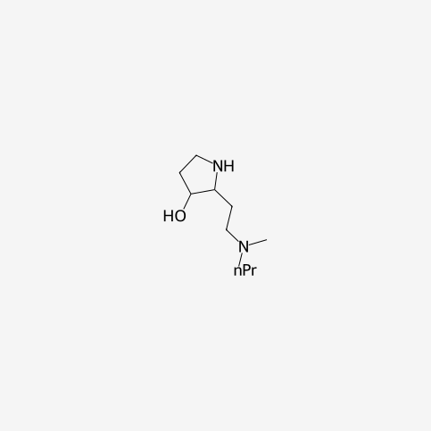 CCCN(C)CCC1NCCC1O